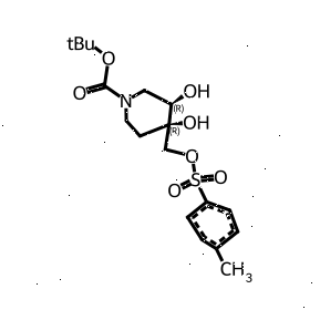 Cc1ccc(S(=O)(=O)OC[C@]2(O)CCN(C(=O)OC(C)(C)C)C[C@H]2O)cc1